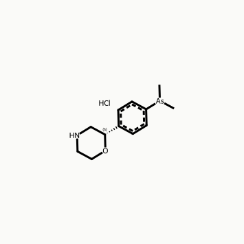 C[As](C)c1ccc([C@H]2CNCCO2)cc1.Cl